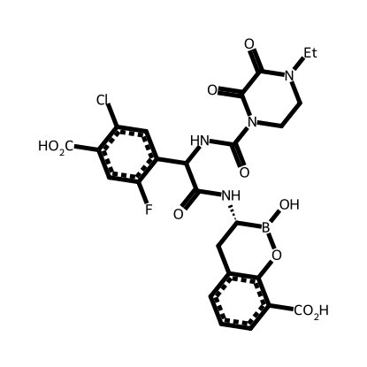 CCN1CCN(C(=O)NC(C(=O)N[C@H]2Cc3cccc(C(=O)O)c3OB2O)c2cc(Cl)c(C(=O)O)cc2F)C(=O)C1=O